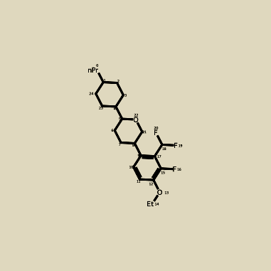 CCCC1CCC(C2CCC(c3ccc(OCC)c(F)c3C(F)F)CO2)CC1